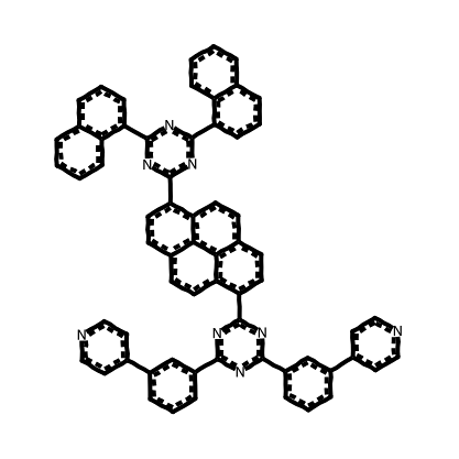 c1cc(-c2ccncc2)cc(-c2nc(-c3cccc(-c4ccncc4)c3)nc(-c3ccc4ccc5c(-c6nc(-c7cccc8ccccc78)nc(-c7cccc8ccccc78)n6)ccc6ccc3c4c65)n2)c1